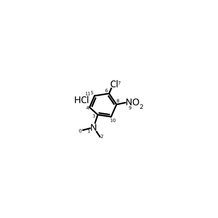 CN(C)c1ccc(Cl)c([N+](=O)[O-])c1.Cl